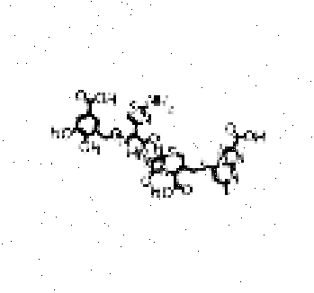 Cc1cc(SCC2=C(C(=O)O)N3C(=O)[C@@H](NC(=O)C(=NOCc4cc(C(=O)O)cc(O)c4O)c4csc(N)n4)[C@H]3SC2)n2nc(C(=O)O)nc2n1